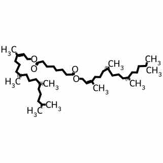 CC(=CCOC(=O)CCCCCCC(=O)OCC=C(C)CCC[C@H](C)CCC[C@H](C)CCCC(C)C)CCC[C@H](C)CCC[C@H](C)CCCC(C)C